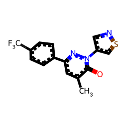 Cc1cc(-c2ccc(C(F)(F)F)cc2)nn(-c2cnsc2)c1=O